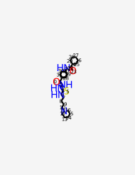 O=C(NNC(=S)NCCCCN1CCCCC1)c1ccc(NC(=O)C2CCCCC2)cc1